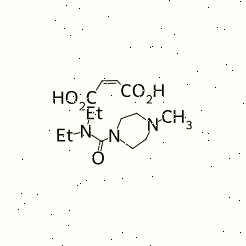 CCN(CC)C(=O)N1CCN(C)CC1.O=C(O)/C=C\C(=O)O